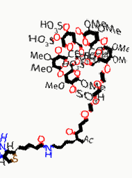 CO[C@H]1O[C@H](COS(=O)(=O)O)[C@@H](O[C@@H]2O[C@@H](C(=O)O)[C@@H](O[C@H]3O[C@H](COS(=O)(=O)O)[C@@H](O[C@@H]4O[C@H](C(=O)O)[C@@H](O[C@H]5O[C@H](COS(=O)(=O)O)[C@@H](OCCOCCOCCOCCCC(=O)[C@H](CCCCNC(=O)CCCC[C@@H]6SC[C@@H]7NC(=O)N[C@@H]76)CC(C)=O)[C@H](OC)[C@H]5OC)[C@H](OC)[C@H]4OC)[C@H](OS(=O)(=O)O)[C@H]3OS(=O)(=O)O)[C@H](OC)[C@H]2OC)[C@H](OC)[C@H]1OS(=O)(=O)O